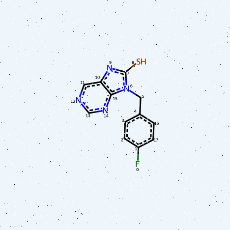 Fc1ccc(Cn2c(S)nc3cncnc32)cc1